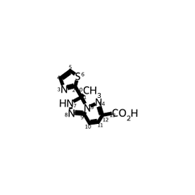 CC1(c2nccs2)NN=C2C=CC(C(=O)O)=NN21